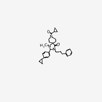 CN1C(c2ccc(C3CC3)cc2)N(CCCc2ccccc2)C(=O)C12CCN(C(=O)C1CC1)CC2